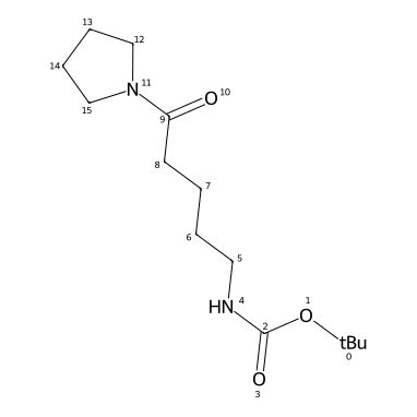 CC(C)(C)OC(=O)NCCCCC(=O)N1CCCC1